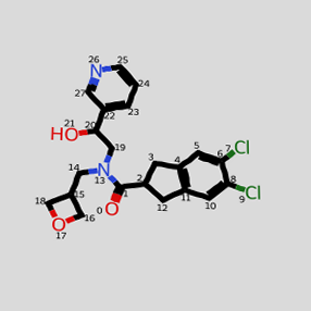 O=C(C1Cc2cc(Cl)c(Cl)cc2C1)N(CC1COC1)CC(O)c1cccnc1